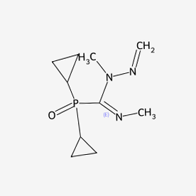 C=NN(C)/C(=N\C)P(=O)(C1CC1)C1CC1